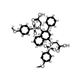 COc1ccc(S(=O)(=O)N(CC(=O)O)c2cc(-c3ccccc3)c(N(CC(=O)O)S(=O)(=O)c3ccc(OC)cc3)c3ccccc23)cc1